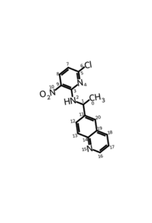 CC(Nc1nc(Cl)ccc1[N+](=O)[O-])c1ccc2ncccc2c1